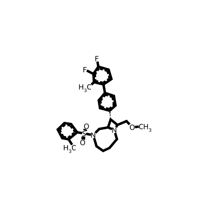 COCC1[C@@H](c2ccc(-c3ccc(F)c(F)c3C)cc2)C2CN(S(=O)(=O)c3ccccc3C)CCCCN12